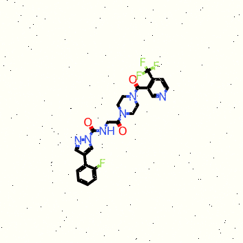 O=C(CNC(=O)n1cc(-c2ccccc2F)cn1)N1CCN(C(=O)c2cnccc2C(F)(F)F)CC1